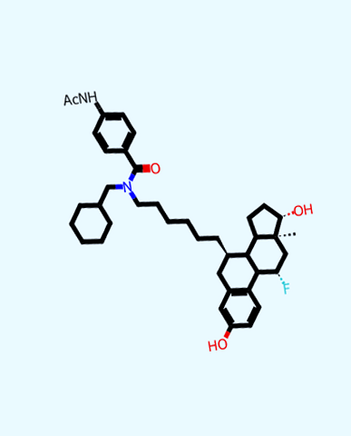 CC(=O)Nc1ccc(C(=O)N(CCCCCC[C@@H]2Cc3cc(O)ccc3C3C2C2CC[C@H](O)[C@@]2(C)C[C@@H]3F)CC2CCCCC2)cc1